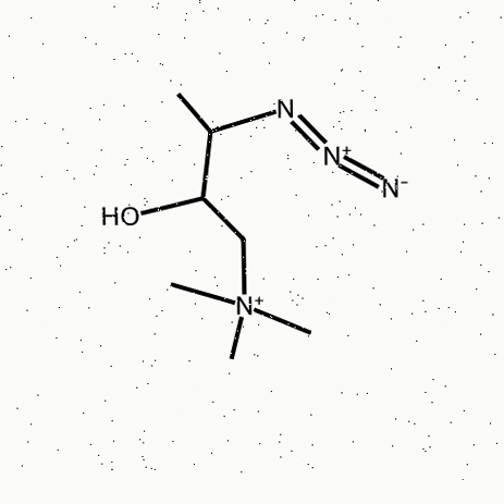 CC(N=[N+]=[N-])C(O)C[N+](C)(C)C